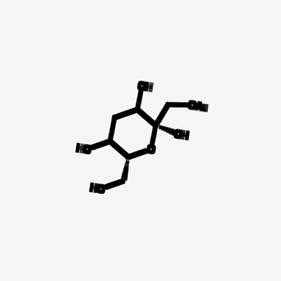 CC(=O)OC[C@@]1(O)O[C@H](CO)C(O)CC1O